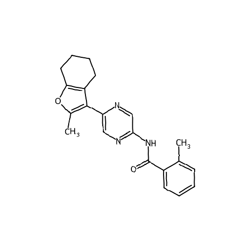 Cc1ccccc1C(=O)Nc1cnc(-c2c(C)oc3c2CCCC3)cn1